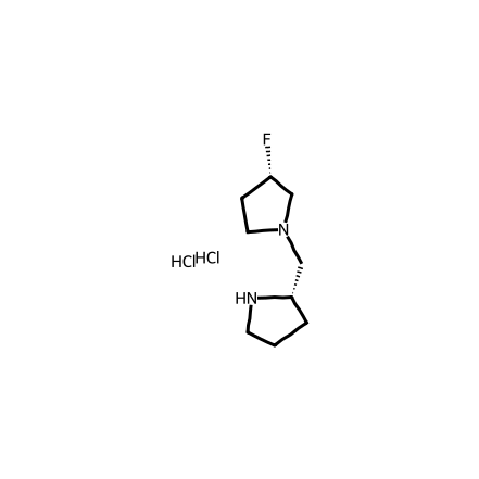 Cl.Cl.F[C@H]1CCN(C[C@@H]2CCCN2)C1